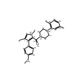 COc1ccc(-c2c(C)cn(C)c2C(=O)N2CCN(c3cc(C)ccc3C)CC2)cc1